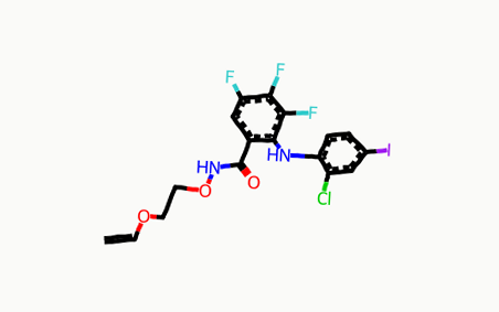 C=COCCONC(=O)c1cc(F)c(F)c(F)c1Nc1ccc(I)cc1Cl